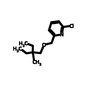 CCC(C)(CC)COCc1cccc(Cl)n1